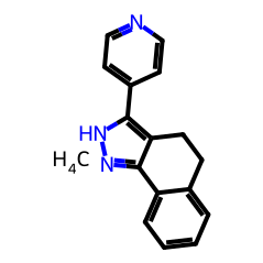 C.c1ccc2c(c1)CCc1c-2n[nH]c1-c1ccncc1